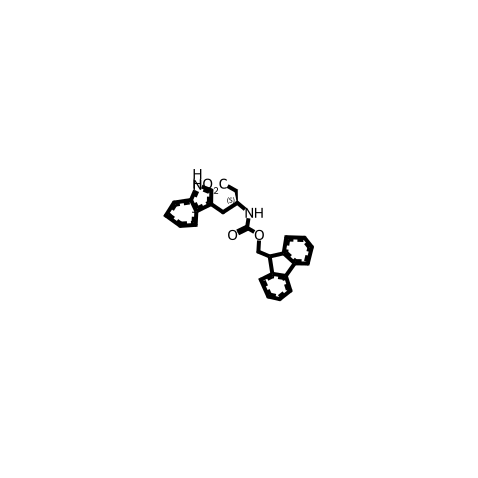 O=C(O)C[C@H](Cc1c[nH]c2ccccc12)NC(=O)OCC1c2ccccc2-c2ccccc21